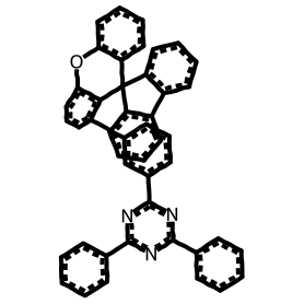 c1ccc(-c2nc(-c3ccccc3)nc(-c3cccc(-c4cccc5c4C4(c6ccccc6O5)c5ccccc5-c5ccccc54)c3)n2)cc1